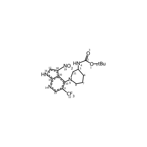 CC(C)(C)OC(=O)NC1CCCN(c2c(C(F)(F)F)cnc3[nH]cc([N+](=O)[O-])c23)C1